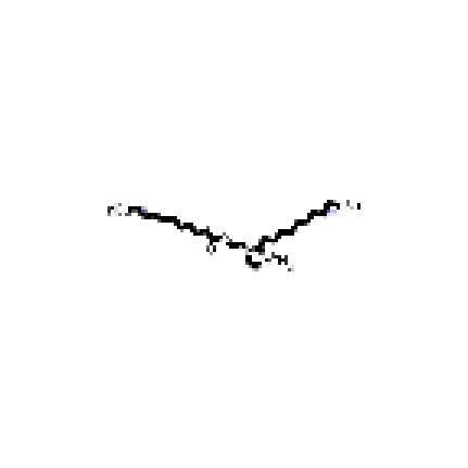 CCCC/C=C/CCCCCCCC(=O)NCCN1CC[N+](C)=C1CCCCCCC/C=C/CCCC